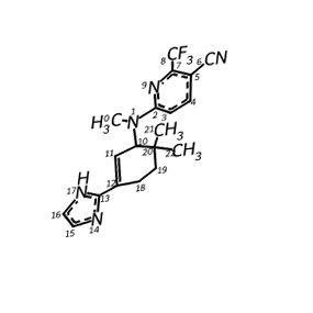 CN(c1ccc(C#N)c(C(F)(F)F)n1)C1C=C(c2ncc[nH]2)CCC1(C)C